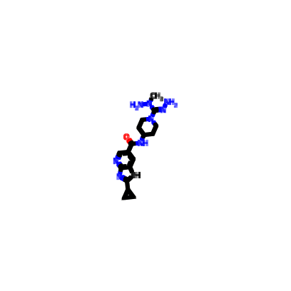 CN(N)/C(=N\N)N1CCC(NC(=O)c2cnc3c(c2)BC(C2CC2)=N3)CC1